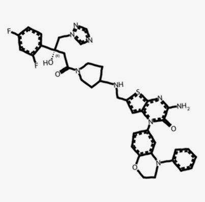 Nc1nc2sc(CNC3CCN(C(=O)C[C@](O)(Cn4cncn4)c4ccc(F)cc4F)CC3)cc2n(-c2ccc3c(c2)N(c2ccccc2)CCO3)c1=O